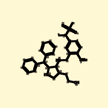 COc1ccc(N(C)S(C)(=O)=O)cc1CNC1C(CCO)CNC1C(c1ccccc1)c1ccccc1